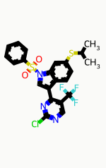 CC(C)Sc1ccc2c(-c3nc(Cl)ncc3C(F)(F)F)cn(S(=O)(=O)c3ccccc3)c2c1